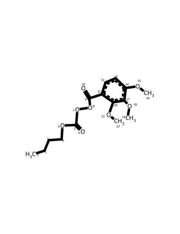 CCCCOC(=O)OOC(=O)c1ccc(OC)c(OC)c1OC